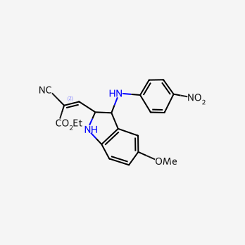 CCOC(=O)/C(C#N)=C\C1Nc2ccc(OC)cc2C1Nc1ccc([N+](=O)[O-])cc1